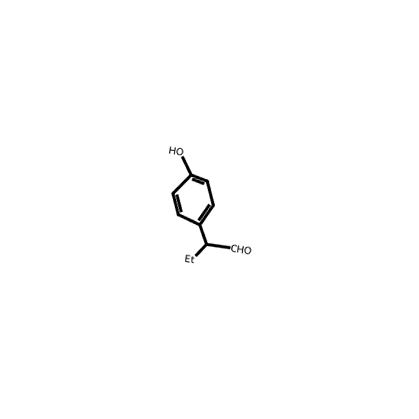 CCC(C=O)c1ccc(O)cc1